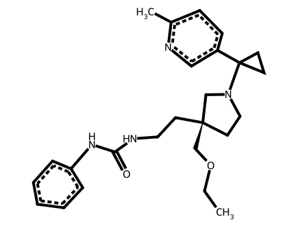 CCOC[C@]1(CCNC(=O)Nc2ccccc2)CCN(C2(c3ccc(C)nc3)CC2)C1